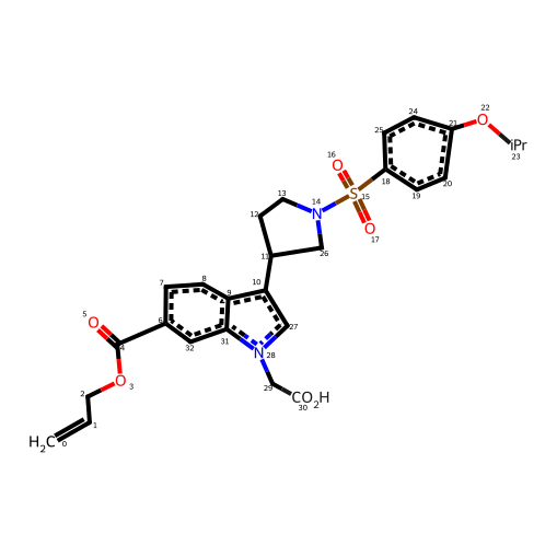 C=CCOC(=O)c1ccc2c(C3CCN(S(=O)(=O)c4ccc(OC(C)C)cc4)C3)cn(CC(=O)O)c2c1